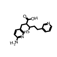 Nc1ccc(CC(C(=O)O)C(S)CCc2cccnc2)cn1